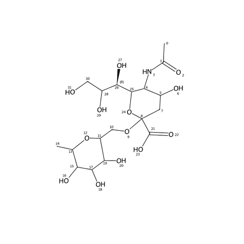 CC(=O)NC1C(O)CC(OCC2OC(C)C(O)C(O)C2O)(C(=O)O)OC1[C@H](O)C(O)CO